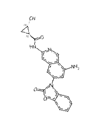 N#C[C@H]1C[C@@H]1C(=O)Nc1cc2cc(-n3c(=O)oc4ccccc43)cc(N)c2cn1